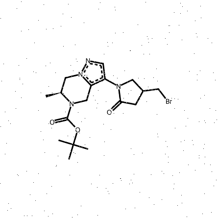 C[C@H]1Cn2ncc(N3CC(CBr)CC3=O)c2CN1C(=O)OC(C)(C)C